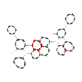 Fc1cc(-c2ccccc2)cc(-c2ccccc2)c1N(c1ccccc1)c1ccc2ccc3c(N(c4ccccc4)c4c(P)cc(-c5ccccc5)cc4-c4ccccc4)ccc4ccc1c2c43